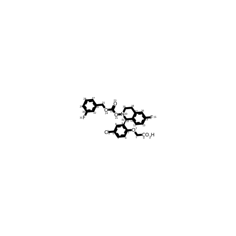 O=C(O)COc1ccc(Cl)cc1[C@@H]1c2ccc(F)cc2CCN1OC(=O)OCc1cccc(F)c1